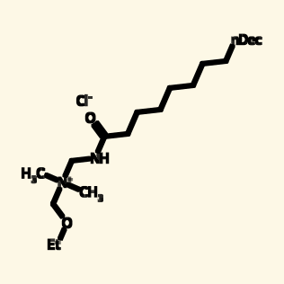 CCCCCCCCCCCCCCCCCC(=O)NC[N+](C)(C)COCC.[Cl-]